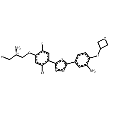 Nc1cc(-c2nnc(-c3cc(F)c(OC[C@H](N)CO)cc3Cl)s2)ccc1OC1COC1